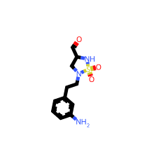 Nc1cccc(CCN2CC(C=O)NS2(=O)=O)c1